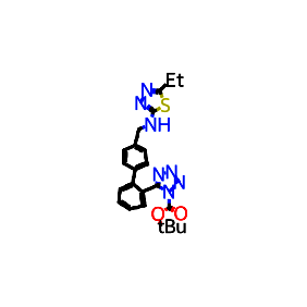 CCc1nnc(NCc2ccc(-c3ccccc3-c3nnnn3C(=O)OC(C)(C)C)cc2)s1